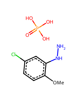 COc1ccc(Cl)cc1NN.O=P(O)(O)O